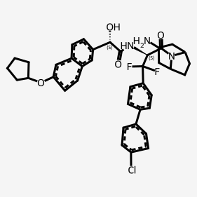 NC1CC2CCC(C1)N2C(=O)[C@H](NC(=O)[C@@H](O)c1ccc2cc(OC3CCCC3)ccc2c1)C(F)(F)c1ccc(-c2ccc(Cl)cc2)cc1